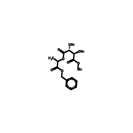 CC(=O)O[C@@H](C(=O)OC(C)C(=O)OCc1ccccc1)[C@@H](OC(C)=O)C(=O)OC(C)(C)C